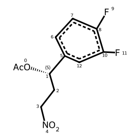 CC(=O)O[C@@H](CC[N+](=O)[O-])c1ccc(F)c(F)c1